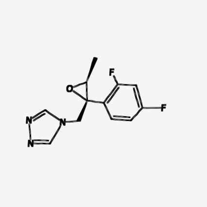 C[C@@H]1O[C@@]1(Cn1cnnc1)c1ccc(F)cc1F